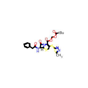 Cc1nnc(SC2=C(C(=O)OCOC(=O)C(C)(C)C)N3C(=O)[C@@H](NC(=O)Cc4ccccc4)[C@H]3SC2)s1